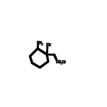 CCOC(=O)CC1(C#N)CCCCC1C